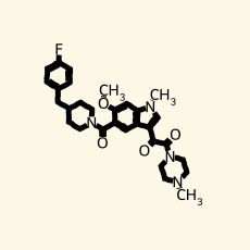 COc1cc2c(cc1C(=O)N1CCC(Cc3ccc(F)cc3)CC1)c(C(=O)C(=O)N1CCN(C)CC1)cn2C